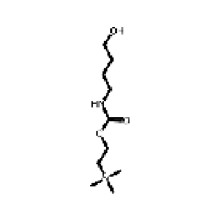 C[Si](C)(C)CCOC(=O)NCCCCO